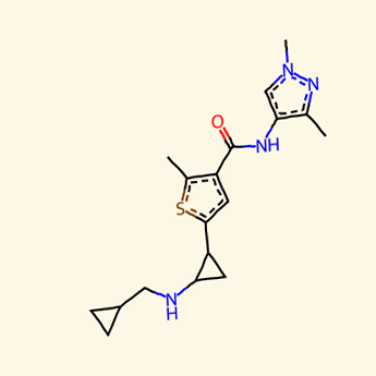 Cc1nn(C)cc1NC(=O)c1cc(C2CC2NCC2CC2)sc1C